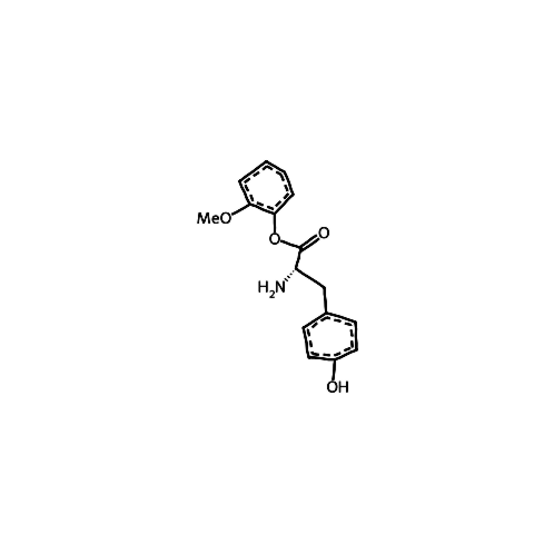 COc1ccccc1OC(=O)[C@@H](N)Cc1ccc(O)cc1